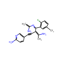 C=C(N)/N=C(\C(C#Cc1ccc(N)nc1)=C(\C)N)c1cc(C(F)(F)F)ccc1F